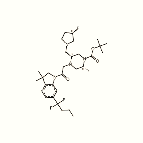 CCCC(F)(F)c1cnc2c(c1)N(C(=O)CN1C[C@@H](C)N(C(=O)OC(C)(C)C)C[C@@H]1CN1CC[C@@H](F)C1)CC2(C)C